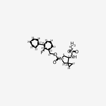 CS(=O)(=O)NC1CN(C(=O)OCc2cccc(-c3ccccc3)c2F)CC12CC2